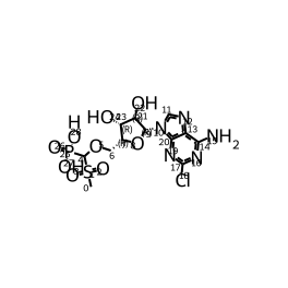 CS(=O)(=O)C(OC[C@H]1O[C@@H](n2cnc3c(N)nc(Cl)nc32)[C@H](O)[C@H]1O)P(=O)(O)O